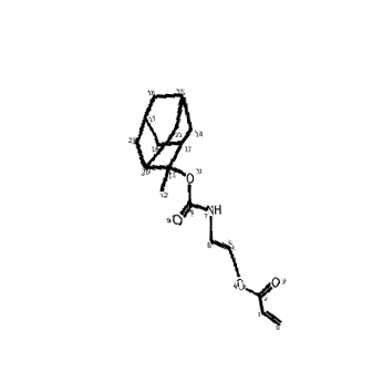 C=CC(=O)OCCNC(=O)OC1(C)C2CC3CC(C2)CC1C3